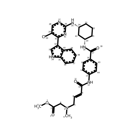 COC(=O)CN(C)CC=CC(=O)Nc1ccc(C(=O)N[C@H]2CCC[C@@H](Nc3ncc(Cl)c(-c4c[nH]c5ccccc45)n3)C2)cc1